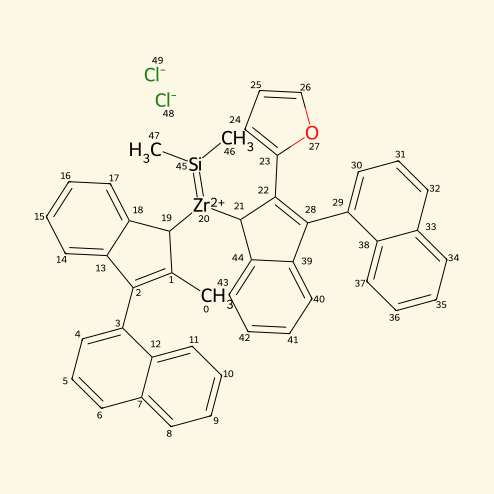 CC1=C(c2cccc3ccccc23)c2ccccc2[CH]1[Zr+2]([CH]1C(c2ccco2)=C(c2cccc3ccccc23)c2ccccc21)=[Si](C)C.[Cl-].[Cl-]